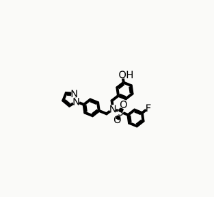 O=S(=O)(c1cccc(F)c1)N(Cc1ccc(-n2cccn2)cc1)Cc1cccc(O)c1